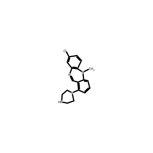 CN1c2ccc(Cl)cc2N=Cc2c(N3CCNCC3)cccc21